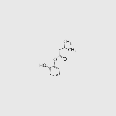 CC(C)CC(=O)Oc1ccccc1O